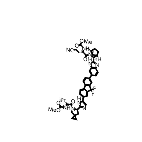 COC(=O)N[C@@H](CCC#N)C(=O)N1[C@@H]2CC[C@@H](C2)[C@H]1c1nc2ccc(-c3ccc4c(c3)C(F)(F)c3cc(-c5cnc(C6CC7(CC7)CN6C(=O)[C@@H](NC(=O)OC)C(C)C)[nH]5)ccc3-4)cc2[nH]1